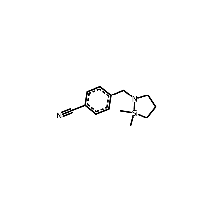 C[Si]1(C)CCCN1Cc1ccc(C#N)cc1